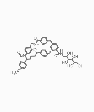 COc1ccc(C(CCCC(O)c2ccc(F)cc2)N(C=O)c2ccc(CNC(=O)c3ccc(Cc4ccc(C(=O)NCC(O)C(O)C(O)C(O)CO)cc4)cc3)cc2)cc1